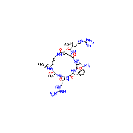 CC(=O)NC(CCCNC(=N)N)C(=O)NC1CCC(=O)NCCCC(C(=O)O)NC(=O)[C@H](C)NC(=O)[C@H](CCCNC(=N)N)NC(=O)C(Cc2ccccc2)NC(=O)[C@H](CCN)NC1=O